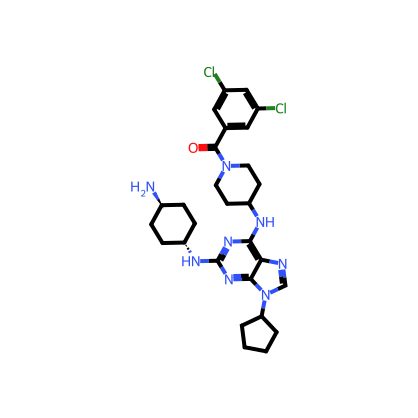 N[C@H]1CC[C@H](Nc2nc(NC3CCN(C(=O)c4cc(Cl)cc(Cl)c4)CC3)c3ncn(C4CCCC4)c3n2)CC1